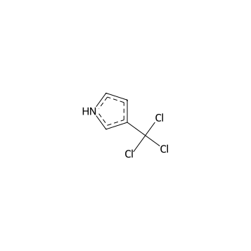 ClC(Cl)(Cl)c1cc[nH]c1